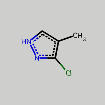 Cc1c[nH]nc1Cl